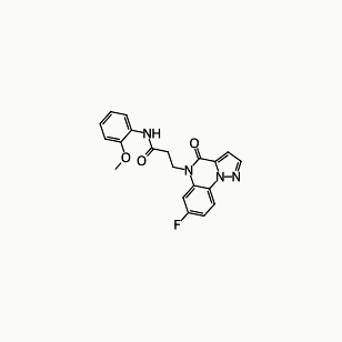 COc1ccccc1NC(=O)CCn1c(=O)c2ccnn2c2ccc(F)cc21